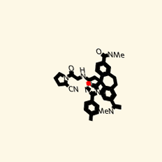 C=C(NC)c1ccc2c(c1)CCc1cc(C(=O)NC)ccc1C2(C[C@@H](C)NCC(=O)N1CCCC1C#N)c1nnc(-c2ccc(C)cc2)[nH]1